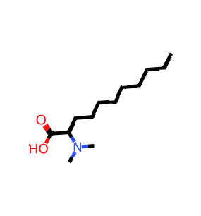 CCCCCCCCCC(C(=O)O)N(C)C